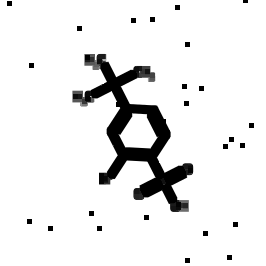 CC(C)(C)c1ccc(S(=O)(=O)O)c(Br)c1